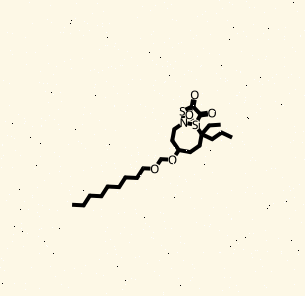 CCCCCCCCCOCOC1CCN2SC(=O)C(=O)[Si]2(OC)C(CC)(CCC)CC1